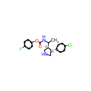 CC(NC(=O)Oc1ccc(F)cc1)[C@@H]1CNC[C@H]1c1ccc(Cl)cc1